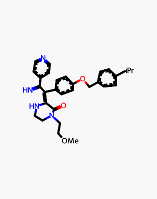 COCCN1CCN/C(=C(\C(=N)c2ccncc2)c2ccc(OCc3ccc(C(C)C)cc3)cc2)C1=O